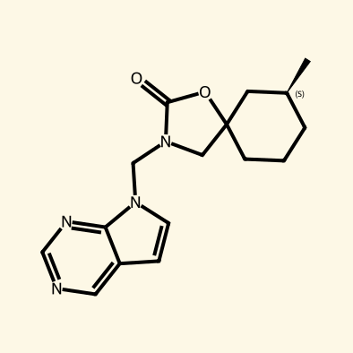 C[C@H]1CCCC2(C1)CN(Cn1ccc3cncnc31)C(=O)O2